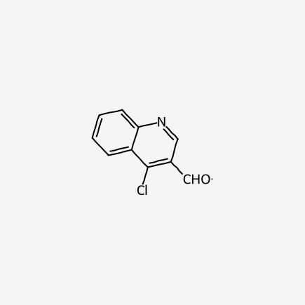 O=[C]c1cnc2ccccc2c1Cl